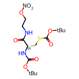 CC(C)(C)OC(=O)N[C@@H](CSC(=O)OC(C)(C)C)C(=O)NCCO[N+](=O)[O-]